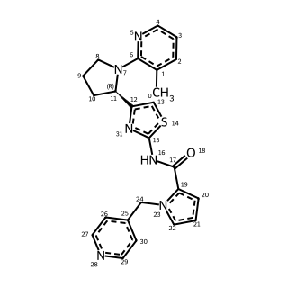 Cc1cccnc1N1CCC[C@@H]1c1csc(NC(=O)c2cccn2Cc2ccncc2)n1